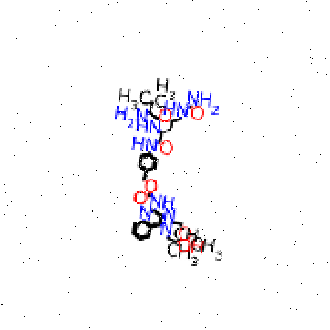 CCOCc1nc2c(NC(=O)OCc3ccc(NC(=O)[C@H](CCCNC(N)=O)NC(=O)[C@@H](N)C(C)C)cc3)nc3ccccc3c2n1CC(C)(C)O